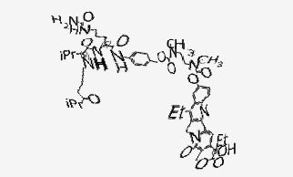 CCc1c2c(nc3ccc(OC(=O)N(C)CCN(C)C(=O)OCc4ccc(NC(=O)[C@H](CCCNC(N)=O)NC(=O)[C@@H](NCCCC(=O)C(C)C)C(C)C)cc4)cc13)-c1cc3c(c(=O)n1C2)COC(=O)[C@]3(O)CC